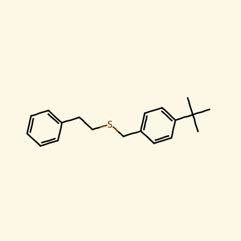 CC(C)(C)c1ccc(CSCCc2ccccc2)cc1